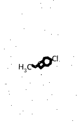 CCCC1CC2CCC(Cl)CCC2C1